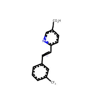 O=C(O)c1ccc(/C=C/c2cccc(C(F)(F)F)c2)nc1